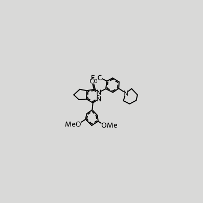 COc1cc(OC)cc(-c2nn(-c3cc(N4CCCCC4)ccc3C(F)(F)F)c(=O)c3c2CCC3)c1